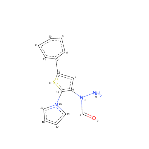 NN(C=O)c1cc(-c2ccccc2)sc1-n1cccc1